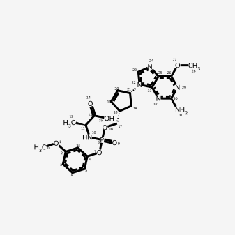 COc1cccc(OP(=O)(N[C@@H](C)C(=O)O)OC[C@@H]2C=C[C@H](n3cnc4c(OC)nc(N)nc43)C2)c1